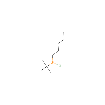 CCCCCP(Cl)C(C)(C)C